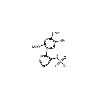 CCS(=O)(=O)Nc1ccccc1-c1cc(C(C)C)c(OC)cc1OC